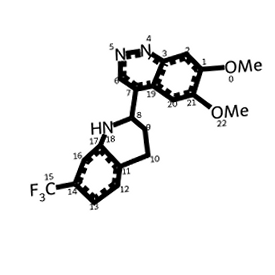 COc1cc2nncc(C3CCc4ccc(C(F)(F)F)cc4N3)c2cc1OC